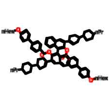 CCCCCCOc1ccc(-c2ccc(C(=O)Oc3c(C4=CCC(C5CCC(CCC)CC5)CC4)cc4ccccc4c3-c3c(OC(=O)c4ccc(-c5ccc(OCCCCCC)cc5)cc4)c(C4=CCC(C5CCC(CCC)CC5)CC4)cc4ccccc34)cc2)cc1